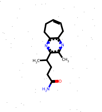 Cc1nc2c(nc1C(C)CCC(N)=O)CCC=CC2